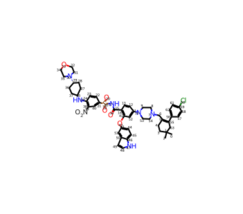 CC1(C)CCC(CN2CCN(c3ccc(C(=O)NS(=O)(=O)c4ccc(N[C@H]5CC[C@@H](N6CCOCC6)CC5)c([N+](=O)[O-])c4)c(Oc4ccc5[nH]ccc5c4)c3)CC2)=C(c2ccc(Cl)cc2)C1